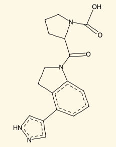 O=C(C1CCCN1C(=O)O)N1CCc2c(-c3cn[nH]c3)cccc21